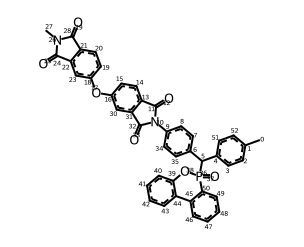 Cc1ccc(C(c2ccc(N3C(=O)c4ccc(Oc5ccc6c(c5)C(=O)N(C)C6=O)cc4C3=O)cc2)P2(=O)Oc3ccccc3-c3ccccc32)cc1